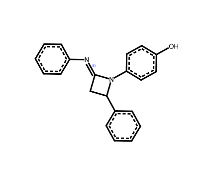 Oc1ccc(N2/C(=N/c3ccccc3)CC2c2ccccc2)cc1